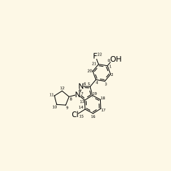 Oc1ccc(-c2nn(C3CCCC3)c3c(Cl)cccc23)cc1F